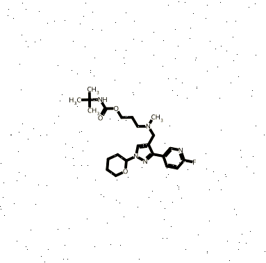 CN(CCCOC(=O)NC(C)(C)C)Cc1cn(C2CCCCO2)nc1-c1ccc(F)nc1